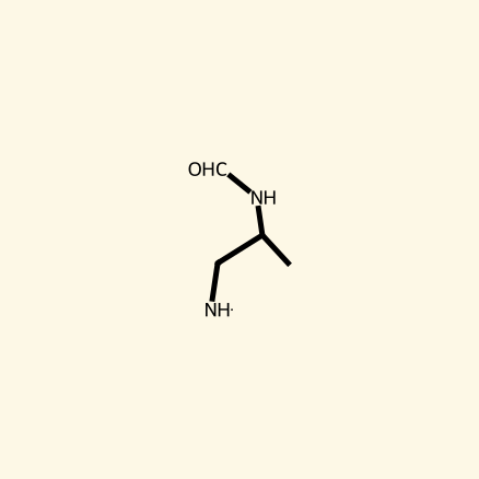 CC(C[NH])NC=O